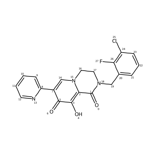 O=C1c2c(O)c(=O)c(-c3ccccn3)cn2CCN1Cc1cccc(Cl)c1F